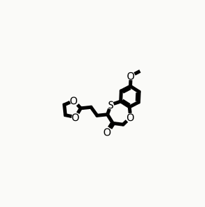 COc1ccc2c(c1)SC(CCC1OCCO1)C(=O)CO2